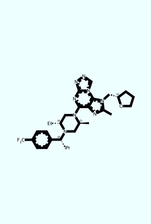 CC[C@@H]1CN(c2nc3nncn3c3c2nc(C)n3C[C@@H]2CCCO2)[C@@H](C)CN1[C@@H](c1ccc(C(F)(F)F)cc1)C(C)C